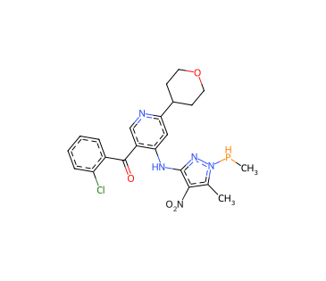 CPn1nc(Nc2cc(C3CCOCC3)ncc2C(=O)c2ccccc2Cl)c([N+](=O)[O-])c1C